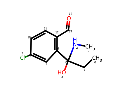 CCC(O)(NC)c1cc(Cl)ccc1C=O